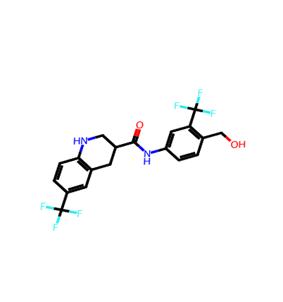 O=C(Nc1ccc(CO)c(C(F)(F)F)c1)C1CNc2ccc(C(F)(F)F)cc2C1